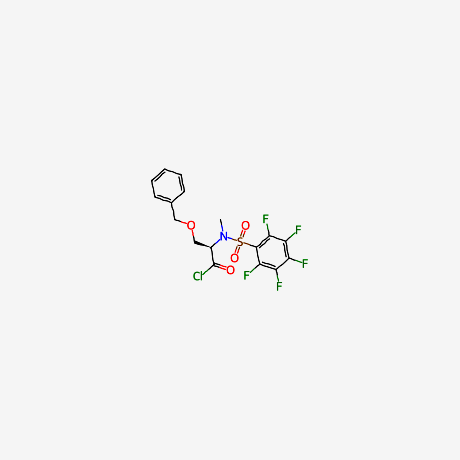 CN([C@H](COCc1ccccc1)C(=O)Cl)S(=O)(=O)c1c(F)c(F)c(F)c(F)c1F